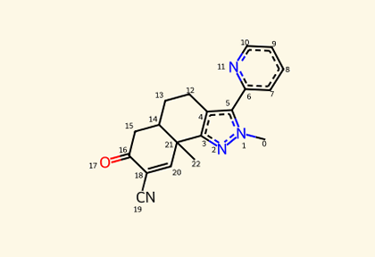 Cn1nc2c(c1-c1ccccn1)CCC1CC(=O)C(C#N)=CC21C